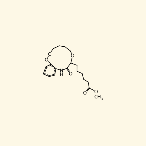 COC(=O)CCCCCC1OCCCCCOc2ccccc2NC1=O